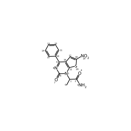 CC(C(N)=O)n1c(=O)nc(-c2ccccc2)c2cc([N+](=O)[O-])sc21